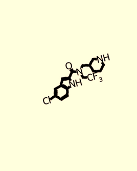 O=C(c1cc2cc(Cl)ccc2[nH]1)N(CC1CCCNC1)CC(F)(F)F